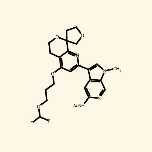 CC(=O)Nc1cc2c(-c3cc(OCCCOC(F)F)c4c(n3)C3(CCOC3)OCC4)cn(C)c2cn1